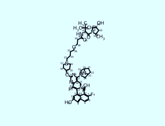 C#Cc1c(F)ccc2cc(O)cc(-c3ncc4c(N5CC6CCC(C5)N6)nc(OC5CCN(CCCCOCCC(=O)N[C@H](C(=O)N6C[C@H](O)C[C@H]6C)C(C)(C)C)CC5)nc4c3F)c12